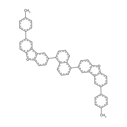 Cc1ccc(-c2ccc3oc4ccc(-c5cccc6c(-c7ccc8oc9ccc(-c%10ccc(C)cc%10)cc9c8c7)cccc56)cc4c3c2)cc1